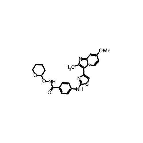 COc1ccn2c(-c3csc(Nc4ccc(C(=O)NOC5CCCCO5)cc4)n3)c(C)nc2c1